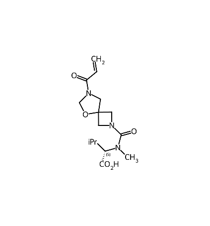 C=CC(=O)N1COC2(C1)CN(C(=O)N(C)[C@H](C(=O)O)C(C)C)C2